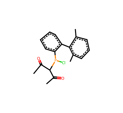 CC(=O)C(C(C)=O)P(Cl)c1ccccc1-c1c(C)cccc1C